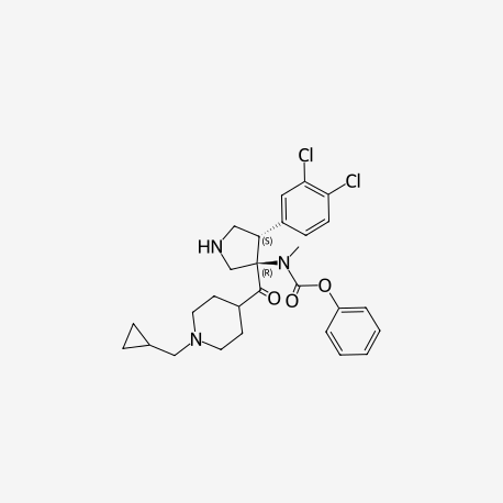 CN(C(=O)Oc1ccccc1)[C@@]1(C(=O)C2CCN(CC3CC3)CC2)CNC[C@@H]1c1ccc(Cl)c(Cl)c1